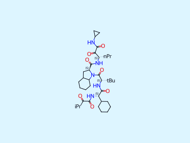 CCC[C@H](NC(=O)[C@@H]1CC2CCCCC2N1C(=O)[C@@H](NC(=O)[C@@H](NC(=O)C(=O)C(C)C)C1CCCCC1)C(C)(C)C)C(=O)C(=O)NC1CC1